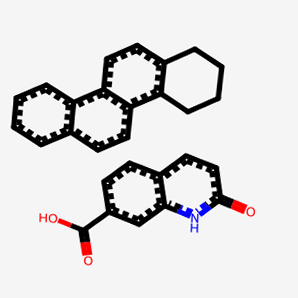 O=C(O)c1ccc2ccc(=O)[nH]c2c1.c1ccc2c(c1)ccc1c3c(ccc12)CCCC3